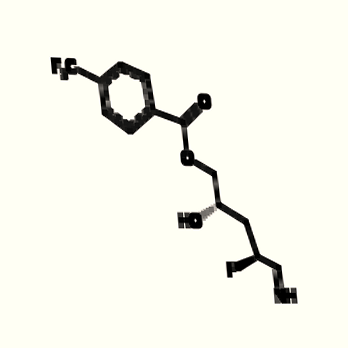 N=C[C@@H](F)C[C@H](O)COC(=O)c1ccc(C(F)(F)F)cc1